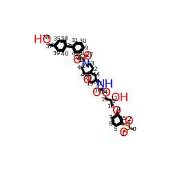 CS(=O)(=O)c1cccc(OCC(O)COC(=O)NC2COC3(CCN(S(=O)(=O)c4cccc(-c5ccc(CO)cc5)c4)CC3)C2)c1